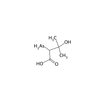 CC(C)(O)C([AsH2])C(=O)O